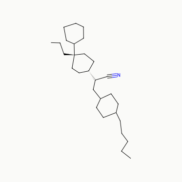 CCCCCC1CCC(CC(C#N)[C@H]2CC[C@@](CCC)(C3CCCCC3)CC2)CC1